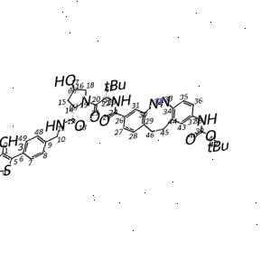 Cc1ncsc1-c1ccc(CNC(=O)[C@@H]2C[C@@H](O)CN2C(=O)[C@@H](NC(=O)c2ccc3c(c2)/N=N\c2ccc(NC(=O)OC(C)(C)C)cc2CC3)C(C)(C)C)cc1